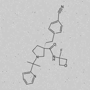 CC(C)(c1ccccn1)N1CC[C@@](CCc2ccc(C#N)cc2)(C(=O)NC2(F)COC2)C1